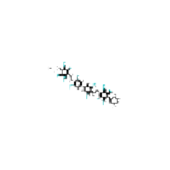 Cc1c(F)c(F)c(/C=C/c2c(F)cc(-c3cc(F)c(/C=C/c4c(F)c(F)c(-c5ccccc5)c(F)c4F)c(F)c3)cc2F)c(F)c1F